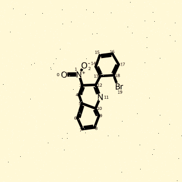 O=[N+]([O-])c1cc2ccccc2nc1-c1ccccc1Br